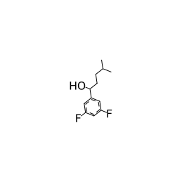 CC(C)CCC(O)c1cc(F)cc(F)c1